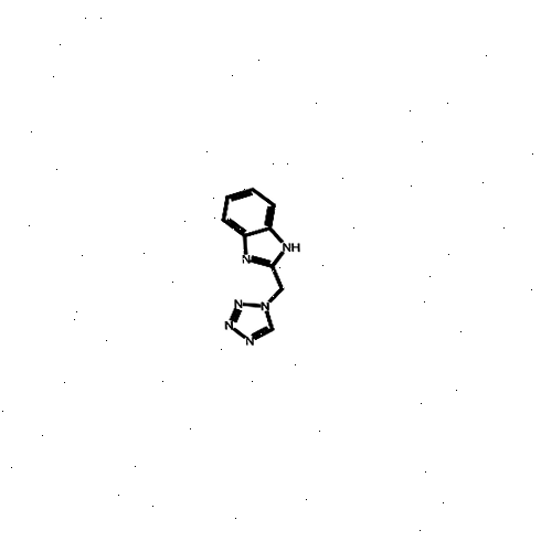 c1ccc2[nH]c(Cn3cnnn3)nc2c1